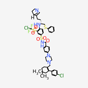 CC1(C)CCC(CN2CCN(c3ccc(C(=O)NS(=O)(=O)c4ccc(N[C@H](CCC5C[N@]6CC[C@@H]5C6)CSc5ccccc5)c(S(=O)(=O)C(F)(F)Cl)c4)cc3)CC2)=C(c2ccc(Cl)cc2)C1